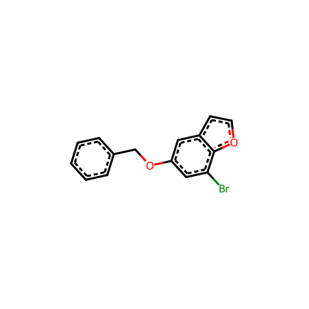 Brc1cc(OCc2ccccc2)cc2ccoc12